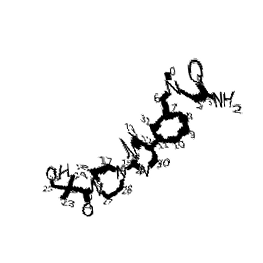 CN(CC(N)=O)Cc1cccc(-c2cnc(N3CCN(C(=O)C(C)(C)CO)CC3)nc2)c1